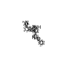 Cc1cn(-c2cccc3[nH]c(-c4n[nH]c5ccc(-c6cncc(OCc7ccccc7)c6)nc45)cc23)cn1